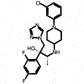 C[C@@H](NC1CCN(c2cccc(Cl)c2)CC1)[C@](O)(Cn1cncn1)c1ccc(F)cc1F